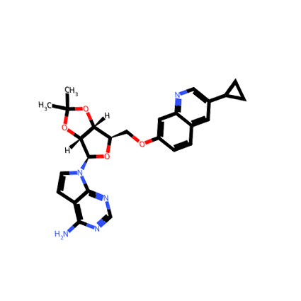 CC1(C)O[C@@H]2[C@H](O1)[C@@H](COc1ccc3cc(C4CC4)cnc3c1)O[C@H]2n1ccc2c(N)ncnc21